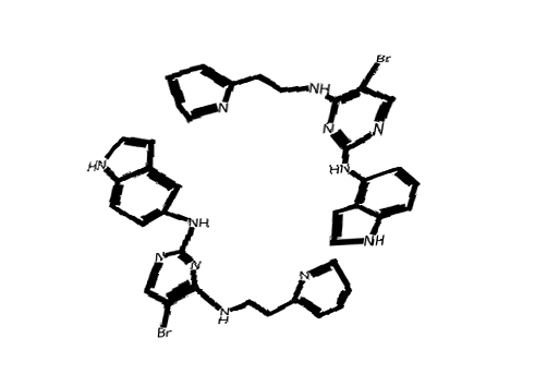 Brc1cnc(Nc2ccc3[nH]ccc3c2)nc1NCCc1ccccn1.Brc1cnc(Nc2cccc3[nH]ccc23)nc1NCCc1ccccn1